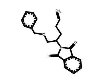 C=CCCC(COCc1ccccc1)N1C(=O)c2ccccc2C1=O